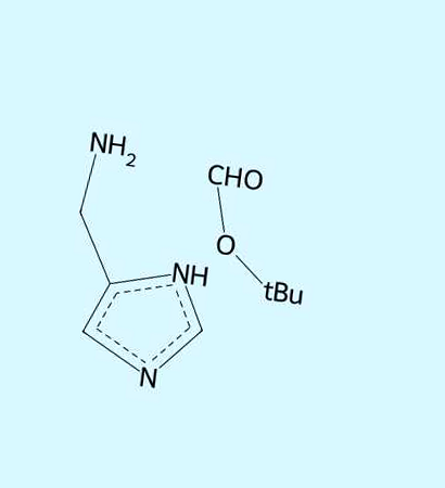 CC(C)(C)OC=O.NCc1cnc[nH]1